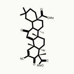 COC(=O)[C@]12CCC(C)(C)CC1C1C(=O)C=C3[C@@]4(C)C=C(C#N)C(=O)[C@@](C)(C(=O)OC)[C@@H]4CC[C@@]3(C)[C@]1(C)CC2